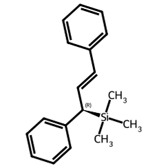 C[Si](C)(C)[C@H](C=Cc1ccccc1)c1ccccc1